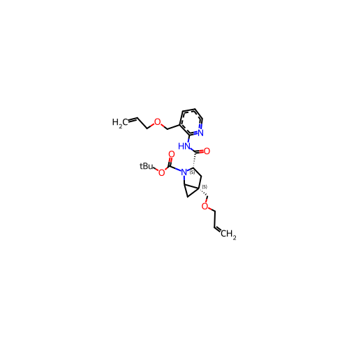 C=CCOCc1cccnc1NC(=O)[C@@H]1C[C@@]2(COCC=C)CC2N1C(=O)OC(C)(C)C